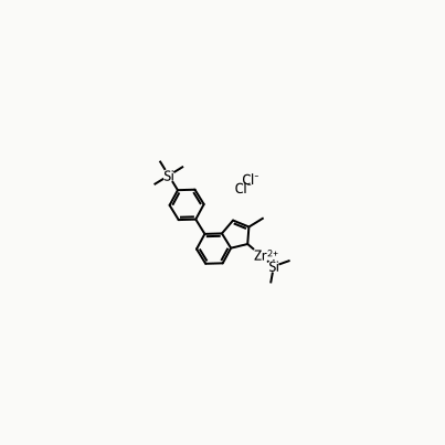 CC1=Cc2c(-c3ccc([Si](C)(C)C)cc3)cccc2[CH]1[Zr+2][Si](C)C.[Cl-].[Cl-]